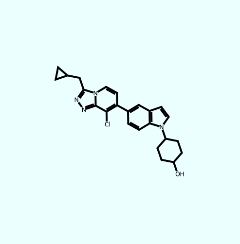 OC1CCC(n2ccc3cc(-c4ccn5c(CC6CC6)nnc5c4Cl)ccc32)CC1